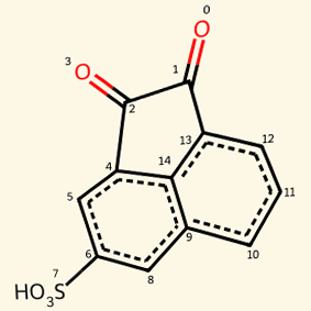 O=C1C(=O)c2cc(S(=O)(=O)O)cc3cccc1c23